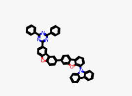 c1ccc(-c2nc(-c3ccccc3)nc(-c3ccc4oc5ccc(-c6ccc7c(c6)oc6c(-n8c9ccccc9c9ccccc98)cccc67)cc5c4c3)n2)cc1